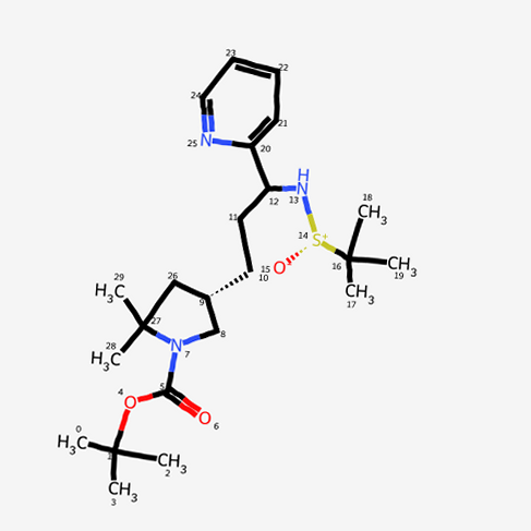 CC(C)(C)OC(=O)N1C[C@@H](CCC(N[S@@+]([O-])C(C)(C)C)c2ccccn2)CC1(C)C